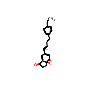 CCc1ccc(CC/C=C/C2=CC3OC34CCC(=O)C4=C2)cc1